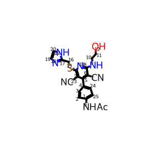 CC(=O)Nc1ccc(-c2c(C#N)c(NCCO)nc(SCc3ncc[nH]3)c2C#N)cc1